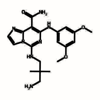 COc1cc(Nc2nc(NCC(C)(C)CN)n3ccnc3c2C(N)=O)cc(OC)c1